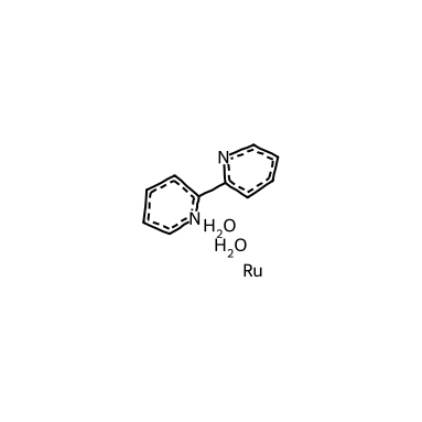 O.O.[Ru].c1ccc(-c2ccccn2)nc1